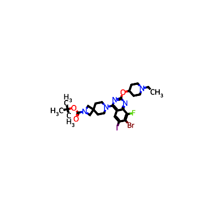 CCN1CCC(Oc2nc(N3CCC4(CC3)CN(C(=O)OC(C)(C)C)C4)c3cc(I)c(Br)c(F)c3n2)CC1